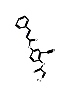 C=CC(=O)Oc1ccc(OC(=O)/C=C/c2ccccc2)cc1C#N